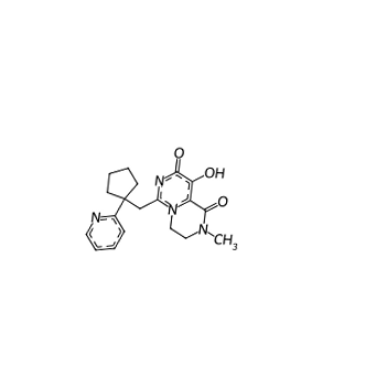 CN1CCn2c(CC3(c4ccccn4)CCCC3)nc(=O)c(O)c2C1=O